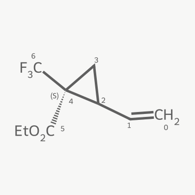 C=CC1C[C@]1(C(=O)OCC)C(F)(F)F